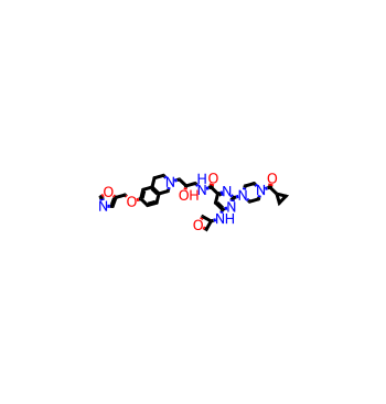 O=C(NCC(O)CN1CCc2cc(OCc3cnco3)ccc2C1)c1cc(NC2COC2)nc(N2CCN(C(=O)C3CC3)CC2)n1